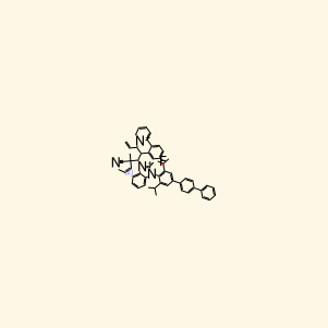 C=CC1C(C([n+]2c(C)n(-c3c(C(C)C)cc(-c4ccc(-c5ccccc5)cc4)cc3C(C)C)c3ccccc32)C(C)(C#N)/C=C\C)c2cc(F)ccc2-c2cccc[n+]21